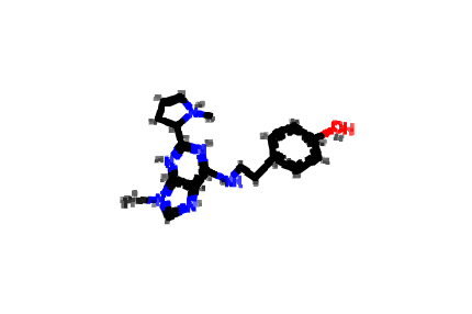 CC(C)n1cnc2c(NCCc3ccc(O)cc3)nc(C3CC=CN3C)nc21